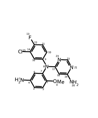 COc1ccc(N)cc1N(c1ccc(F)c(Cl)c1)c1cc(N)ncn1